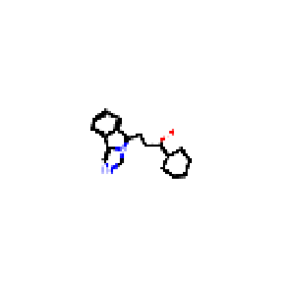 OC(CCC1c2ccccc2C2=CNCN21)C1CCCCC1